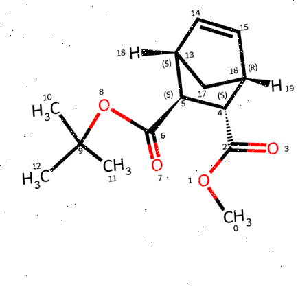 COC(=O)[C@@H]1[C@@H](C(=O)OC(C)(C)C)[C@@H]2C=C[C@H]1C2